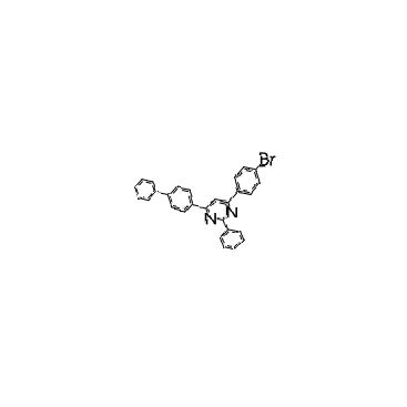 Brc1ccc(-c2cc(-c3ccc(-c4ccccc4)cc3)nc(-c3ccccc3)n2)cc1